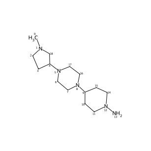 CN1CCC(N2CCN(C3CCN(N)CC3)CC2)C1